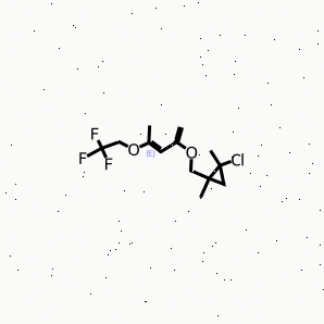 C=C(/C=C(\C)OCC(F)(F)F)OCC1(C)CC1(C)Cl